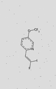 F/C(I)=C/c1ccc(OC(F)(F)F)cn1